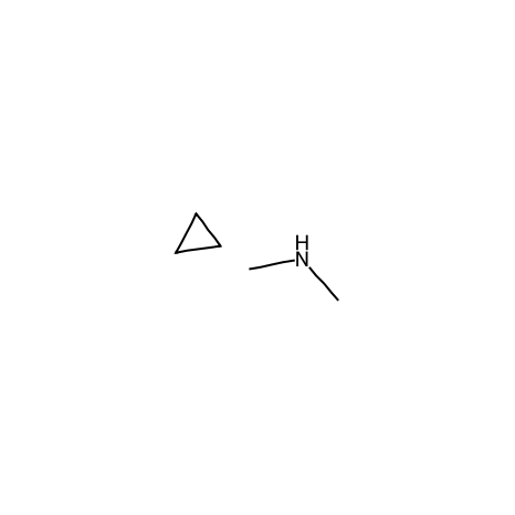 C1CC1.CNC